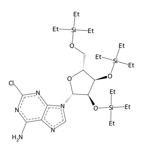 CC[Si](CC)(CC)OC[C@H]1O[C@@H](n2cnc3c(N)nc(Cl)nc32)[C@H](O[Si](CC)(CC)CC)[C@@H]1O[Si](CC)(CC)CC